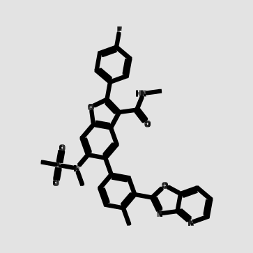 CNC(=O)c1c(-c2ccc(F)cc2)oc2cc(N(C)S(C)(=O)=O)c(-c3ccc(C)c(-c4nc5ncccc5o4)c3)cc12